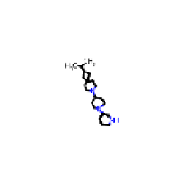 CC(C)C1CC2(CCN(C3CCN(C4CCCNC4)CC3)CC2)C1